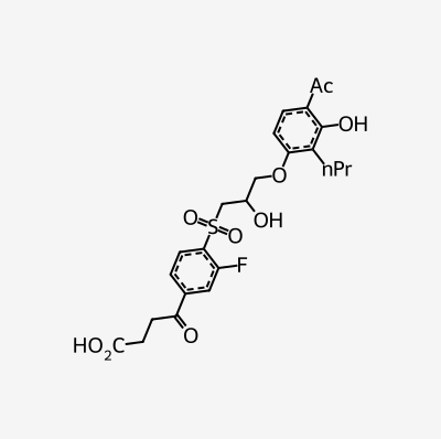 CCCc1c(OCC(O)CS(=O)(=O)c2ccc(C(=O)CCC(=O)O)cc2F)ccc(C(C)=O)c1O